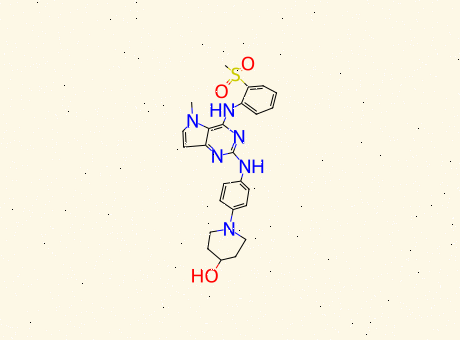 Cn1ccc2nc(Nc3ccc(N4CCC(O)CC4)cc3)nc(Nc3ccccc3S(C)(=O)=O)c21